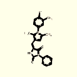 Cc1cc(-n2c(C)cc(C=C3NC(=O)N(c4ccccc4)C3=O)c2C)ccc1Br